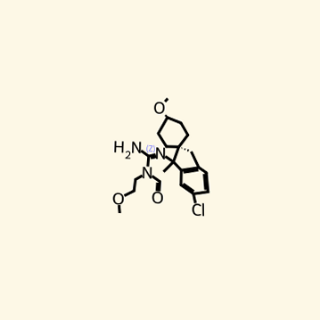 COCCN(C=O)/C(N)=N\C1(C)c2cc(Cl)ccc2C[C@]12CC[C@@H](OC)CC2